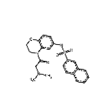 CN(C)CC(=O)N1CCOc2ccc(NS(=O)(=O)c3ccc4ccccc4c3)cc21